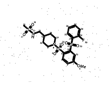 COc1ccc(S(=O)(=O)N2CCC(CNS(C)(=O)=O)CC2)c(S(=O)(=O)c2ccccc2F)c1